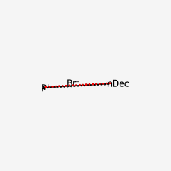 CCCCCCCCCCCCCCCCCCCCCCCCCCCCCCCCCCCCCCCCCCCCCCCC[P+](C)(C)C.[Br-]